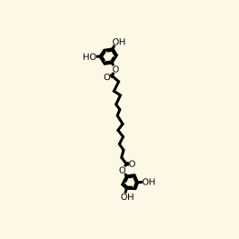 O=C(CCCCCCCCCCCCC(=O)Oc1cc(O)cc(O)c1)Oc1cc(O)cc(O)c1